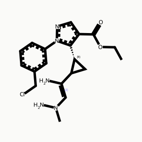 CCOC(=O)c1cnn(-c2cccc(CCl)c2)c1[C@@H]1CC1/C(N)=C/N(C)N